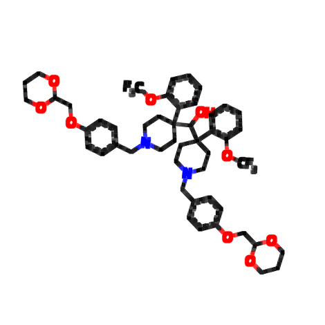 OC(C1(c2ccccc2OC(F)(F)F)CCN(Cc2ccc(OCC3OCCCO3)cc2)CC1)C1(c2ccccc2OC(F)(F)F)CCN(Cc2ccc(OCC3OCCCO3)cc2)CC1